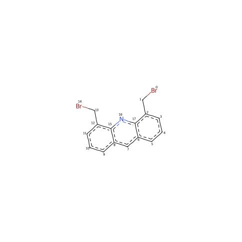 BrCc1cccc2cc3cccc(CBr)c3nc12